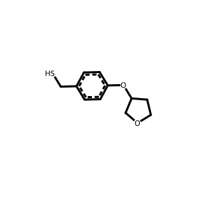 SCc1ccc(OC2CCOC2)cc1